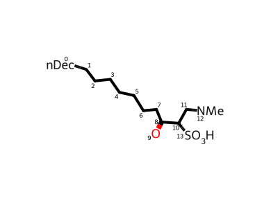 CCCCCCCCCCCCCCCCCC(=O)C(CNC)S(=O)(=O)O